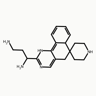 NCCC(N)C1=NC=C2CC3(CCNCC3)C3C=CC=CC3=C2N1